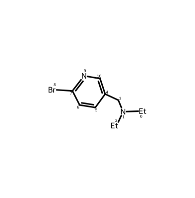 CCN(CC)Cc1ccc(Br)nc1